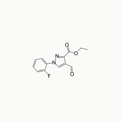 CCOC(=O)c1nn(-c2ccccc2F)cc1C=O